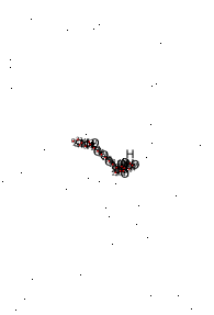 C[C@H]1CC[C@H](N2CCN(C(=O)CCOCCOCCOCCNc3cccc4c3C(=O)N(C3CCC(=O)NC3=O)C4=O)CC2)CC1